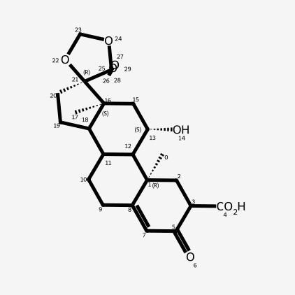 C[C@]12CC(C(=O)O)C(=O)C=C1CCC1C2[C@@H](O)C[C@@]2(C)C1CC[C@@]21OCOC12COCO2